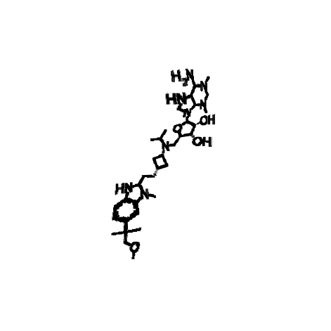 COCC(C)(C)c1ccc2c(c1)N(C)C(CC[C@H]1C[C@@H](N(C[C@H]3O[C@@H](N4CNC5C(N)N(C)CN(C)C54)[C@H](O)[C@@H]3O)C(C)C)C1)N2